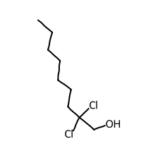 CCCCCCCC(Cl)(Cl)CO